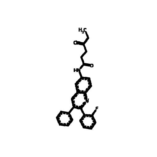 CCC(=O)CCC(=O)Nc1ccc2nc(-c3ccccc3F)c(-c3ccccc3)cc2c1